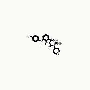 C[C@@]1(c2cccc(Nc3ccc(Cl)cc3)c2Cl)CC(=O)N(C2CCOCC2)C(=N)N1